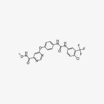 CONC(=O)c1cc(Oc2ccc(NC(=O)Nc3ccc(Cl)c(C(F)(F)F)c3)cc2)ncn1